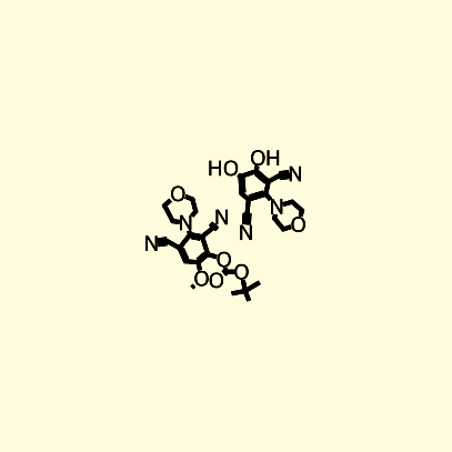 COc1cc(C#N)c(N2CCOCC2)c(C#N)c1OC(=O)OC(C)(C)C.N#Cc1cc(O)c(O)c(C#N)c1N1CCOCC1